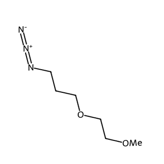 COCCOCCCN=[N+]=[N-]